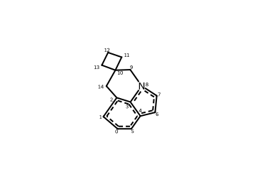 c1cc2c3c(c1)ccn3CC1(CCC1)C2